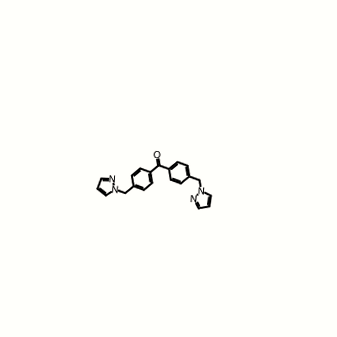 O=C(c1ccc(Cn2cccn2)cc1)c1ccc(Cn2cccn2)cc1